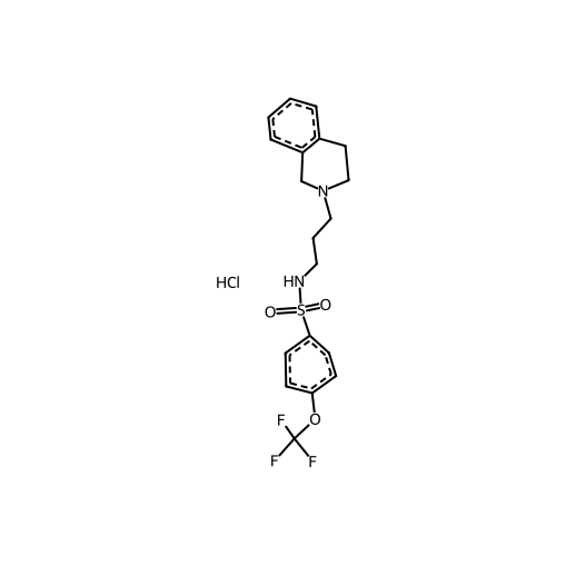 Cl.O=S(=O)(NCCCN1CCc2ccccc2C1)c1ccc(OC(F)(F)F)cc1